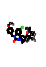 COc1ccc(CN2C(=O)NC(CCC(O[SiH](C)C)C(C)(C)C)(C3CC3)c3cc(Cl)ccc32)cc1